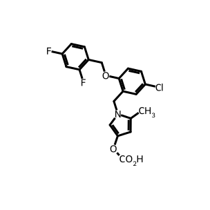 Cc1cc(OC(=O)O)cn1Cc1cc(Cl)ccc1OCc1ccc(F)cc1F